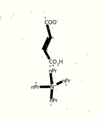 CCC[N+](CCC)(CCC)CCC.O=C([O-])C=CC(=O)O